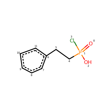 O=P(O)(Cl)CCc1ccccc1